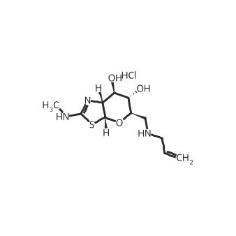 C=CCNC[C@H]1O[C@@H]2SC(NC)=N[C@@H]2[C@@H](O)[C@@H]1O.Cl